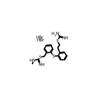 Br.Br.CNC(=N)SCc1ccccc1Sc1ccccc1CCSC(=N)N